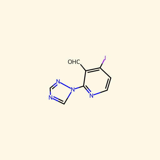 O=Cc1c(I)ccnc1-n1cncn1